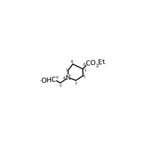 CCOC(=O)C1CCN(C[C]=O)CC1